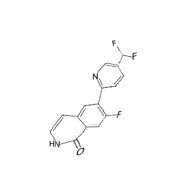 O=c1[nH]ccc2cc(-c3ccc(C(F)F)cn3)c(F)cc12